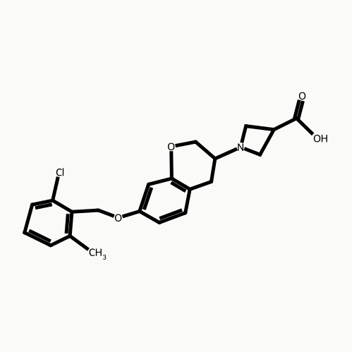 Cc1cccc(Cl)c1COc1ccc2c(c1)OCC(N1CC(C(=O)O)C1)C2